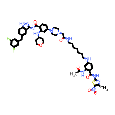 CC(=O)Nc1cc(NCCCCCCCNC(=O)CN2CCN(c3ccc(C(=O)Nc4n[nH]c5ccc(Cc6cc(F)cc(F)c6)cc45)c(NC4CCOCC4)c3)CC2)ccc1C(=O)Nc1nc(C)c([N+](=O)[O-])s1